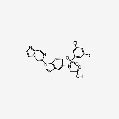 O=C(O)CN(c1ccc2c(ccn2-c2cn3ccnc3cn2)c1)S(=O)(=O)c1cc(Cl)cc(Cl)c1